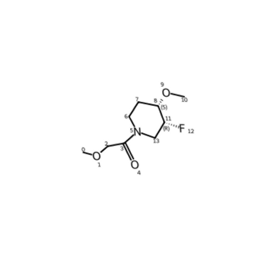 COCC(=O)N1CC[C@H](OC)[C@H](F)C1